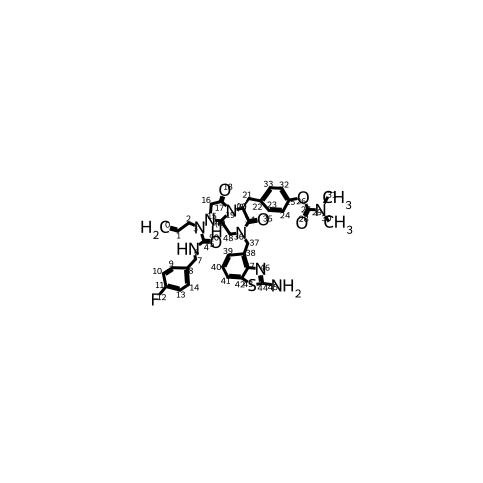 C=CCN(C(=O)NCc1ccc(F)cc1)N1CC(=O)N2[C@@H](Cc3ccc(OC(=O)N(C)C)cc3)C(=O)N(Cc3cccc4sc(N)nc34)C[C@@H]21